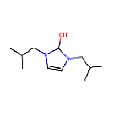 CC(C)CN1C=CN(CC(C)C)C1O